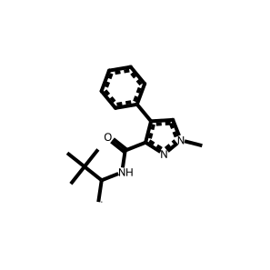 [CH2]C(NC(=O)c1nn(C)cc1-c1ccccc1)C(C)(C)C